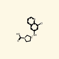 O=C(O)N1CC[C@@H](Nc2cc(Cl)c3ncccc3c2)C1